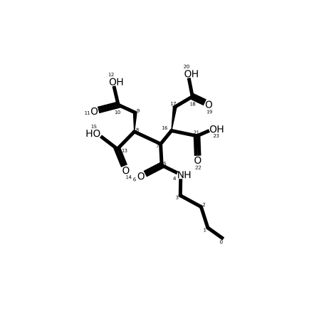 CCCCNC(=O)C([C@H](CC(=O)O)C(=O)O)[C@@H](CC(=O)O)C(=O)O